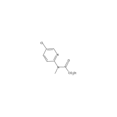 CCOC(=O)C(=O)N(C)c1ccc(Cl)cn1